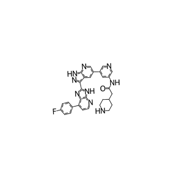 O=C(CC1CCNCC1)Nc1cncc(-c2cnc3[nH]nc(-c4nc5c(-c6ccc(F)cc6)ccnc5[nH]4)c3c2)c1